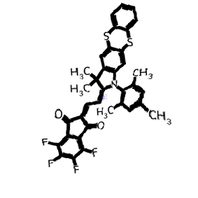 Cc1cc(C)c(N2/C(=C/C=C3C(=O)c4c(F)c(F)c(F)c(F)c4C3=O)C(C)(C)c3cc4c(cc32)Sc2ccccc2S4)c(C)c1